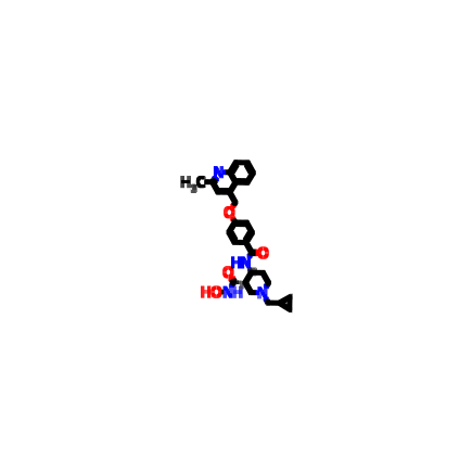 Cc1cc(COc2ccc(C(=O)N[C@@H]3CCN(CC4CC4)C[C@@H]3C(=O)NO)cc2)c2ccccc2n1